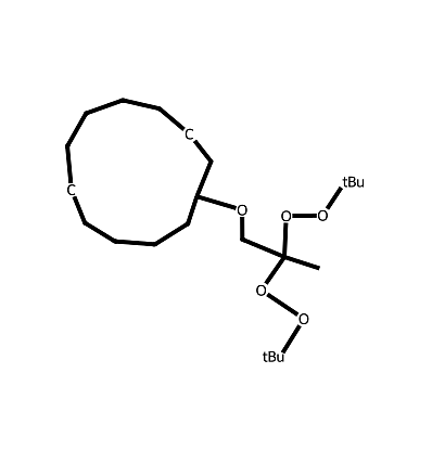 CC(C)(C)OOC(C)(COC1CCCCCCCCCCC1)OOC(C)(C)C